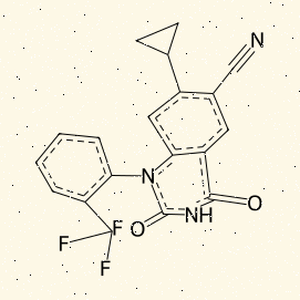 N#Cc1cc2c(=O)[nH]c(=O)n(-c3ccccc3C(F)(F)F)c2cc1C1CC1